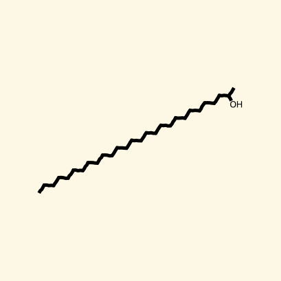 CCCCCCCCCCCCCCCCCCCCCCCCCCC(C)O